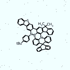 CC(C)(C)c1ccc(N2B3c4cccc5c4N(c4ccccc4C54c5ccccc5-c5ccccc54)c4c3c(cc3c4-c4ccccc4C3(C)C)-c3cc4sc5ccccc5c4cc32)cc1